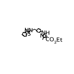 CCOC(=O)c1sc(Nc2ccc(CCNc3nc4ccccc4s3)cc2)nc1C